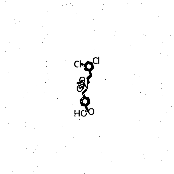 CS(=O)(=O)N(CC=Cc1cc(Cl)cc(Cl)c1)CCc1ccc(C(=O)O)cc1